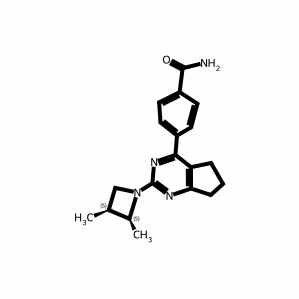 C[C@H]1CN(c2nc3c(c(-c4ccc(C(N)=O)cc4)n2)CCC3)[C@H]1C